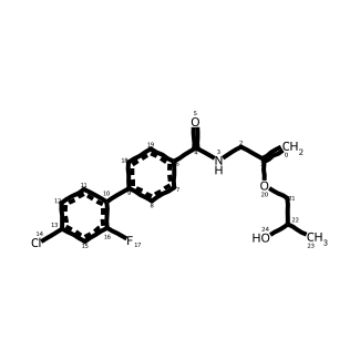 C=C(CNC(=O)c1ccc(-c2ccc(Cl)cc2F)cc1)OCC(C)O